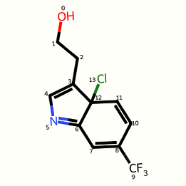 OCCC1=CN=C2C=C(C(F)(F)F)C=CC12Cl